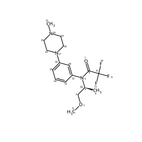 COC[C@H](C)N(C(=O)C(F)(F)F)c1[c]ccc(N2CCN(C)CC2)c1